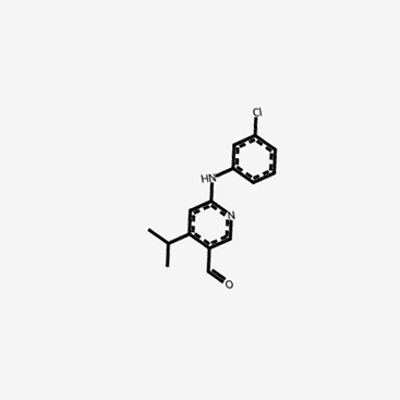 CC(C)c1cc(Nc2cccc(Cl)c2)ncc1C=O